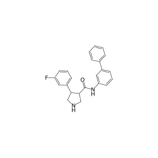 O=C(Nc1cccc(-c2ccccc2)c1)C1CNCC1c1cccc(F)c1